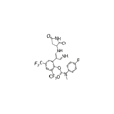 CN(C(=O)Oc1c(/C(C=N)=C/NC2CC(=O)NC2=O)cc(C(F)(F)F)cc1C(F)(F)F)c1ccc(F)cc1